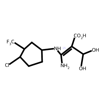 N/C(NC1CCC(Cl)C(C(F)(F)F)C1)=C(/C(=O)O)C(O)O